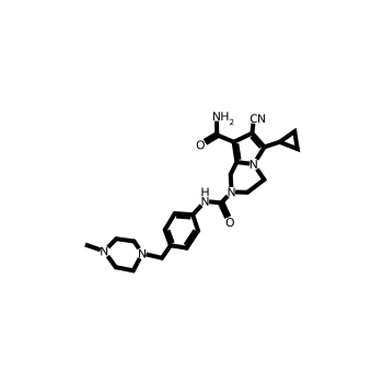 CN1CCN(Cc2ccc(NC(=O)N3CCn4c(c(C(N)=O)c(C#N)c4C4CC4)C3)cc2)CC1